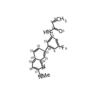 C=CC(=O)Nc1cc(F)cc(-c2ccc3ccc(NC)nc3c2)c1